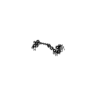 COc1cc(N2CCC(N3CCN(CCCCCCCOc4cccc5c4C(=O)N(C4CCC(=O)NC4=O)C5=O)CC3)CC2)ccc1Nc1ncc(Cl)c(Nc2ccccc2P(C)(C)=O)n1